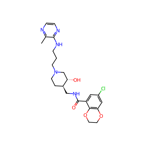 Cc1nccnc1NCCCN1CC[C@H](CNC(=O)c2cc(Cl)cc3c2OCCO3)[C@@H](O)C1